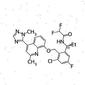 CC[C@H](NC(=O)C(F)F)c1cc(F)cc(Cl)c1COc1cccc2c(-c3ncnn3C)cc(C)nc12